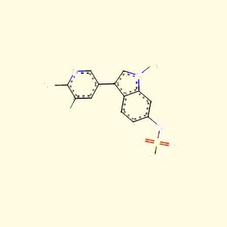 CC(C)n1cc(-c2cnc(C#N)c(F)c2)c2ccc(NS(C)(=O)=O)cc21